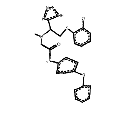 CN(CC(=O)Nc1ccc(Oc2ccccc2)cc1)C(CSc1ccccc1Cl)c1nnn[nH]1